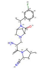 C=C(C(N)CN1CC2CC1C(=O)N2C(C)c1cccc(F)c1)N1CC(C)CC1C#N